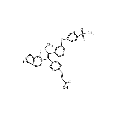 CCC(=C(c1ccc(C=CC(=O)O)cc1)c1ccc2[nH]ncc2c1F)c1cccc(Oc2ccc(S(C)(=O)=O)nc2)c1